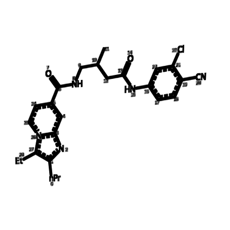 CCCc1nc2cc(C(=O)NCC(C)CC(=O)Nc3ccc(C#N)c(Cl)c3)ccn2c1CC